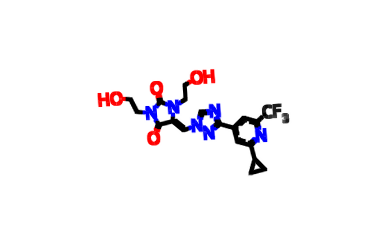 O=C1C(=Cn2cnc(-c3cc(C4CC4)nc(C(F)(F)F)c3)n2)N(CCO)C(=O)N1CCO